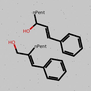 CCCCC/C(=C\c1ccccc1)CO.CCCCCC(O)/C=C/c1ccccc1